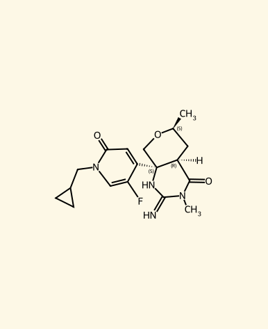 C[C@H]1C[C@H]2C(=O)N(C)C(=N)N[C@@]2(c2cc(=O)n(CC3CC3)cc2F)CO1